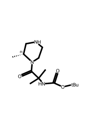 C[C@@H]1CNCCN1C(=O)C(C)(C)NC(=O)OC(C)(C)C